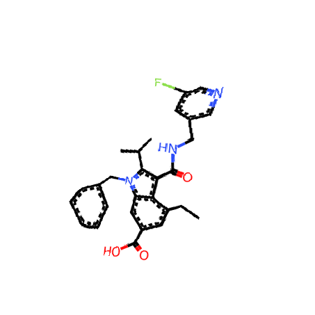 CCc1cc(C(=O)O)cc2c1c(C(=O)NCc1cncc(F)c1)c(C(C)C)n2Cc1ccccc1